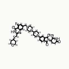 O=C1CCC(N2C(=O)c3ccc(N4CCC(N5CCN(Cc6cc(F)c7c(=O)[nH]c(CSC8CCOCC8)nc7c6)CC5)CC4)cc3C2=O)C(=O)N1